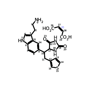 NCCc1c[nH]c2ccc(C(Cc3ccsc3)C3NC(=O)NC3=O)cc12.O=C(O)/C=C\C(=O)O